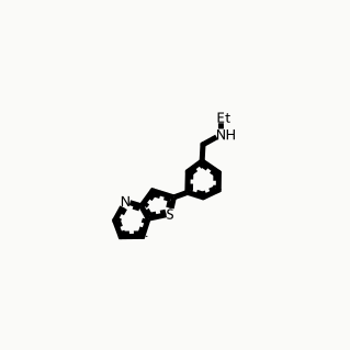 CCNCc1cccc(-c2cc3ncc[c]c3s2)c1